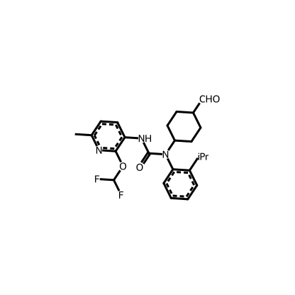 Cc1ccc(NC(=O)N(c2ccccc2C(C)C)C2CCC(C=O)CC2)c(OC(F)F)n1